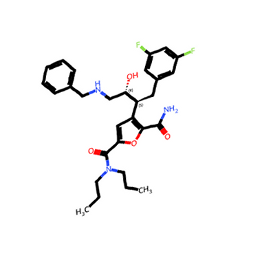 CCCN(CCC)C(=O)c1cc([C@H](Cc2cc(F)cc(F)c2)[C@@H](O)CNCc2ccccc2)c(C(N)=O)o1